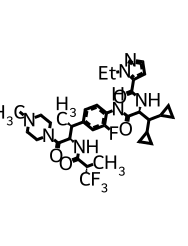 CCn1nccc1C(=O)N[C@H](C(=O)Nc1ccc([C@H](C)[C@@H](NC(=O)[C@H](C)C(F)(F)F)C(=O)N2CCN(C)CC2)cc1F)C(C1CC1)C1CC1